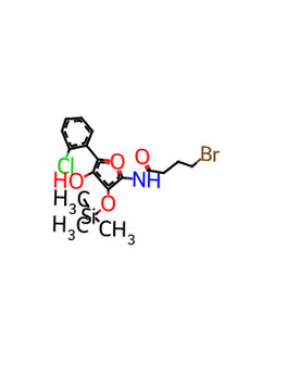 C[Si](C)(C)Oc1c(NC(=O)CCCBr)oc(-c2ccccc2Cl)c1O